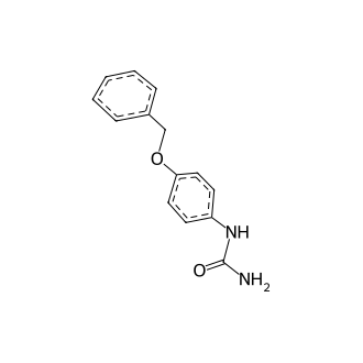 NC(=O)Nc1ccc(OCc2ccccc2)cc1